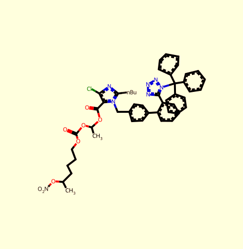 CCCCc1nc(Cl)c(C(=O)OC(C)OC(=O)OCCCCC(C)O[N+](=O)[O-])n1Cc1ccc(-c2ccccc2-c2nnnn2C(c2ccccc2)(c2ccccc2)c2ccccc2)cc1